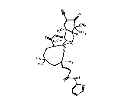 CC1(C)CCC2C(=O)C=C3[C@@]4(C)C=C(C#N)C(=O)C(C)(C)[C@@H]4CC[C@@]3(C)[C@]2(C)CC[C@@](C)(CCC(=O)Nc2ccccn2)CC1